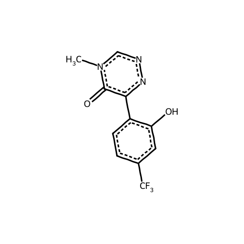 Cn1cnnc(-c2ccc(C(F)(F)F)cc2O)c1=O